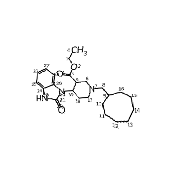 CCOC(=O)C1CN(CC2CCCCCCC2)CCC1n1c(=O)[nH]c2ccccc21